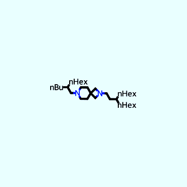 CCCCCCC(CCCCCC)CCN1CC2(CCN(CC(CCCC)CCCCCC)CC2)C1